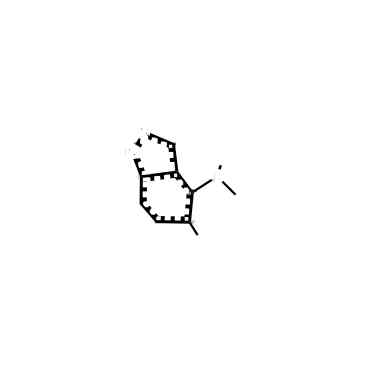 OB(O)c1c(F)ccc2[nH]ncc12